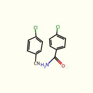 N#Cc1ccc(Cl)cc1.NC(=O)c1ccc(Cl)cc1